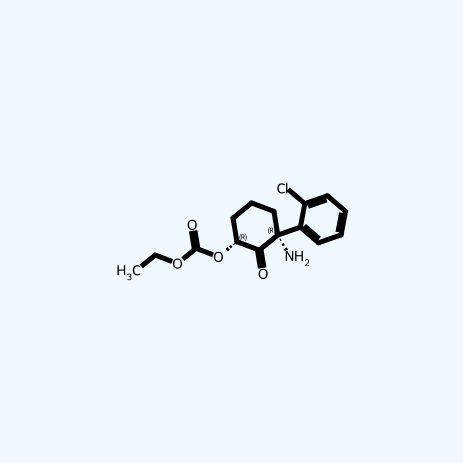 CCOC(=O)O[C@@H]1CCC[C@@](N)(c2ccccc2Cl)C1=O